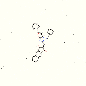 O=C1C(=Cc2nc3oc(-c4ccccc4)cc3n2Cc2ccccc2)C(=O)c2cc3ccccc3cc21